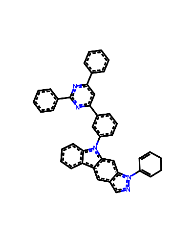 C1=CC(n2ncc3cc4c5ccccc5n(-c5cccc(-c6cc(-c7ccccc7)nc(-c7ccccc7)n6)c5)c4cc32)=CCC1